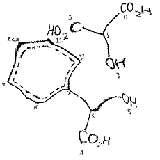 O=C(O)C(O)C(=O)O.O=C(O)C(O)c1ccccc1